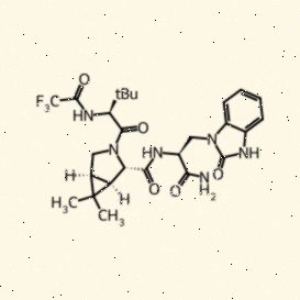 CC(C)(C)[C@H](NC(=O)C(F)(F)F)C(=O)N1C[C@H]2[C@@H]([C@H]1C(=O)N[C@@H](Cn1c(=O)[nH]c3ccccc31)C(N)=O)C2(C)C